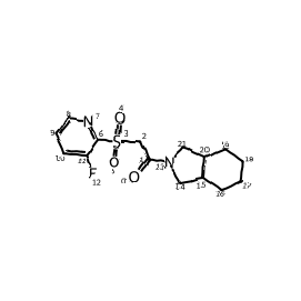 O=C(CS(=O)(=O)c1ncccc1F)N1CC2CCCCC2C1